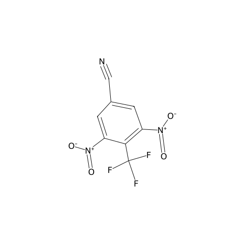 N#Cc1cc([N+](=O)[O-])c(C(F)(F)F)c([N+](=O)[O-])c1